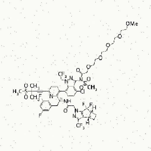 COCCOCCOCCOCCOCC(=O)N(c1nn(CC(F)(F)F)c2c(-c3ccc(C#CC(C)(C)S(C)(=O)=O)nc3[C@H](Cc3cc(F)cc(F)c3)NC(=O)Cn3nc(C(F)(F)F)c4c3C(F)(F)[C@@H]3CC[C@H]43)ccc(Cl)c12)S(C)(=O)=O